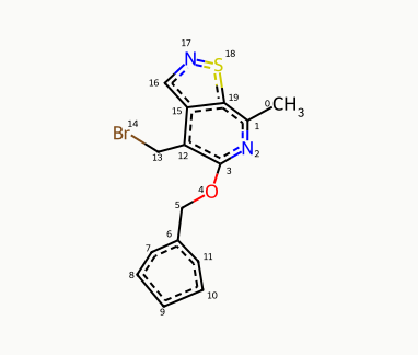 Cc1nc(OCc2ccccc2)c(CBr)c2cnsc12